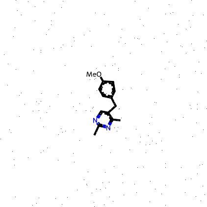 COc1ccc(Cc2cnc(C)nc2C)cc1